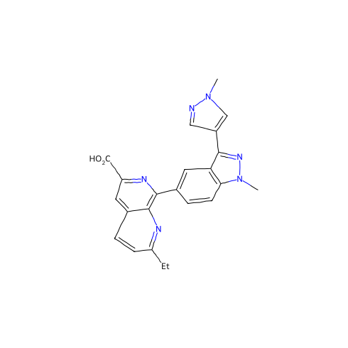 CCc1ccc2cc(C(=O)O)nc(-c3ccc4c(c3)c(-c3cnn(C)c3)nn4C)c2n1